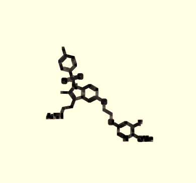 COc1ncc(OCCOc2ccc3c(c2)c(CCNC(C)=O)c(C)n3S(=O)(=O)c2ccc(C)cc2)cc1F